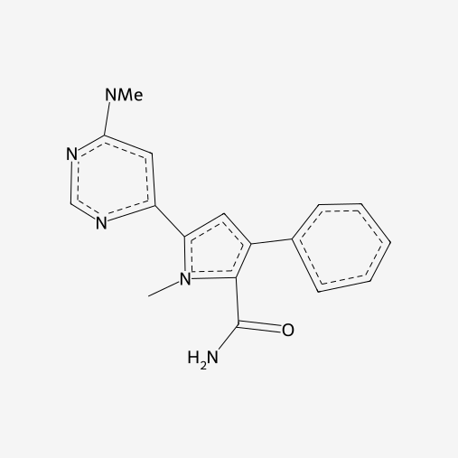 CNc1cc(-c2cc(-c3ccccc3)c(C(N)=O)n2C)ncn1